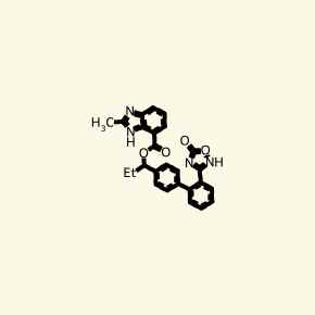 CCC(OC(=O)c1cccc2nc(C)[nH]c12)c1ccc(-c2ccccc2-c2nc(=O)o[nH]2)cc1